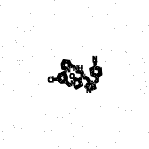 N#Cc1ccc(Cn2cncc2CN(CCNc2ccccn2)C2CCN(Cc3cccc(Cl)c3)C2=O)cc1